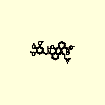 COc1cc(CNc2cccc3c2c(=O)c2cccc([N+](=O)[O-])c2n3CCN(C)C)cc(OC)c1OC